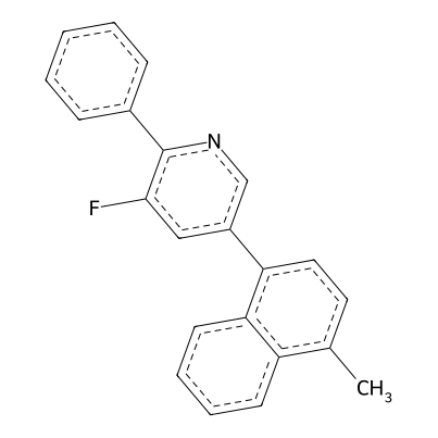 Cc1ccc(-c2cnc(-c3ccccc3)c(F)c2)c2ccccc12